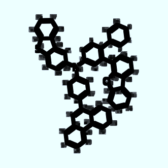 c1ccc(-c2ccc(N(c3ccc(-c4cc5ccccc5c5ccccc45)cc3)c3ccc4sc5ccccc5c4c3)cc2-c2cccc3c2oc2ccccc23)cc1